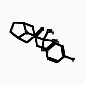 CC(C)(C)N1CC2CCC(C1)N2C(=O)Cc1ccc(F)cc1